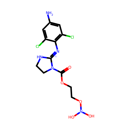 Nc1cc(Cl)c(/N=C2\NCCN2C(=O)OCCON(O)O)c(Cl)c1